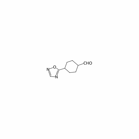 O=CC1CCC(c2ncno2)CC1